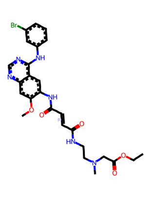 CCOC(=O)CN(C)CCNC(=O)/C=C/C(=O)Nc1cc2c(Nc3cccc(Br)c3)ncnc2cc1OC